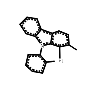 CCc1c(C)ccc2c3ccccc3n(-c3ccccc3C)c12